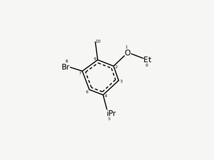 CCOc1cc(C(C)C)cc(Br)c1C